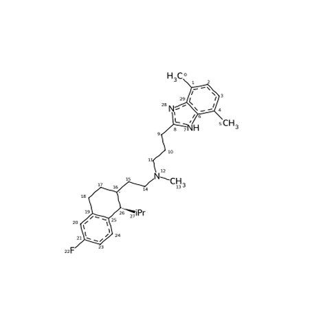 Cc1ccc(C)c2[nH]c(CCCN(C)CC[C]3CCc4cc(F)ccc4[C@@H]3C(C)C)nc12